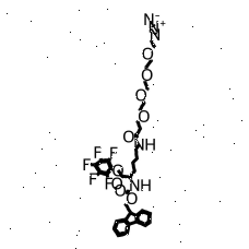 [N-]=[N+]=NCCOCCOCCOCCOCCC(=O)NCCCCC(NC(=O)OCC1c2ccccc2-c2ccccc21)C(=O)Oc1c(F)c(F)c(F)c(F)c1F